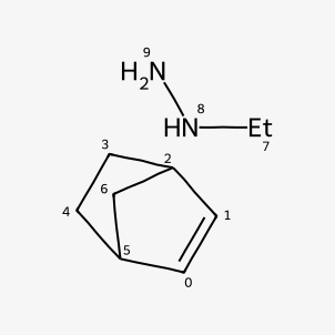 C1=CC2CCC1C2.CCNN